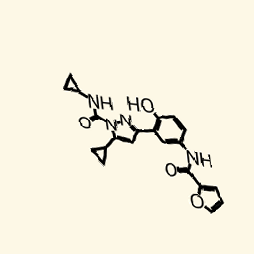 O=C(Nc1ccc(O)c(-c2cc(C3CC3)n(C(=O)NC3CC3)n2)c1)c1ccco1